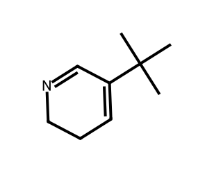 CC(C)(C)C1=CCCN=C1